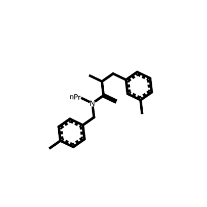 C=C(C(C)Cc1cccc(C)c1)N(CCC)Cc1ccc(C)cc1